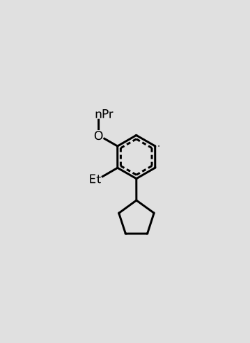 CCCOc1c[c]cc(C2CCCC2)c1CC